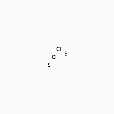 [C].[C].[S].[S]